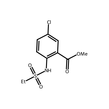 CCS(=O)(=O)Nc1ccc(Cl)cc1C(=O)OC